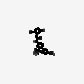 NS(=O)(=O)c1cc(NC(=O)Cc2cc(Cl)ccc2Cl)ccc1-n1cc(C(F)(F)F)cn1